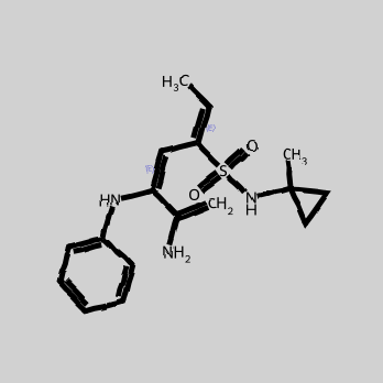 C=C(N)/C(=C\C(=C/C)S(=O)(=O)NC1(C)CC1)Nc1ccccc1